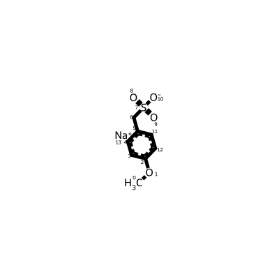 COc1ccc(CS(=O)(=O)[O-])cc1.[Na+]